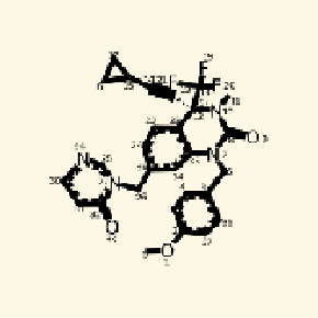 COc1ccc(CN2C(=O)N(C)[C@](C#CC3CC3)(C(F)(F)F)c3ccc(Cn4cnccc4=O)cc32)cc1